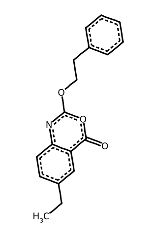 CCc1ccc2nc(OCCc3ccccc3)oc(=O)c2c1